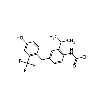 CC(=O)Nc1ccc(Cc2ccc(O)cc2C(F)(F)F)cc1C(C)C